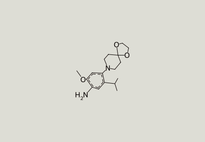 COc1cc(N2CCC3(CC2)OCCO3)c(C(C)C)cc1N